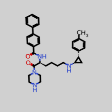 Cc1ccc([C@@H]2C[C@H]2NCCCC[C@H](NC(=O)c2ccc(-c3ccccc3)cc2)C(=O)N2CCNCC2)cc1